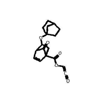 O=C=COC(=O)C12C=CC(C1=O)C(OC13CCC(CC1)C3)C2